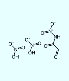 O=CC(=O)N[N+](=O)[O-].O=[N+]([O-])O.O=[N+]([O-])O